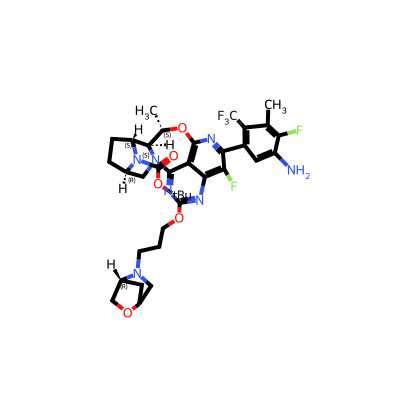 Cc1c(F)c(N)cc(-c2nc3c4c(nc(OCCCN5CC6C[C@@H]5CO6)nc4c2F)N2C[C@H]4CC[C@@H]([C@H]2[C@H](C)O3)N4C(=O)OC(C)(C)C)c1C(F)(F)F